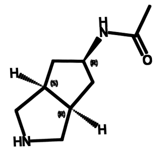 CC(=O)N[C@H]1C[C@H]2CNC[C@H]2C1